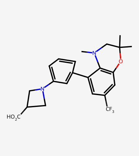 CN1CC(C)(C)Oc2cc(C(F)(F)F)cc(-c3cccc(N4CC(C(=O)O)C4)c3)c21